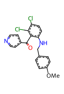 COc1ccc(CNc2ccc(Cl)c(Cl)c2C(=O)c2ccncc2)cc1